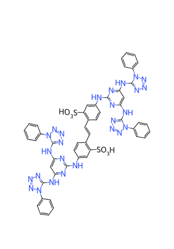 O=S(=O)(O)c1cc(Nc2nc(Nc3nnnn3-c3ccccc3)cc(Nc3nnnn3-c3ccccc3)n2)ccc1C=Cc1ccc(Nc2nc(Nc3nnnn3-c3ccccc3)cc(Nc3nnnn3-c3ccccc3)n2)cc1S(=O)(=O)O